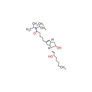 CCCCC[C@H](O)/C=C/[C@@H]1[C@H]2CC(CCCCC(=O)N(C(C)C)C(C)C)=C[C@H]2C[C@H]1O